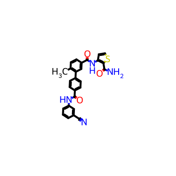 Cc1ccc(C(=O)Nc2ccsc2C(N)=O)cc1-c1ccc(C(=O)Nc2cccc(C#N)c2)cc1